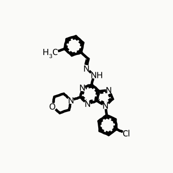 Cc1cccc(C=NNc2nc(N3CCOCC3)nc3c2ncn3-c2cccc(Cl)c2)c1